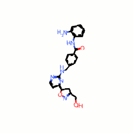 Nc1ccccc1NC(=O)c1ccc(CNc2nccc(C3CC(CO)=NO3)n2)cc1